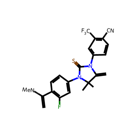 C=C(NC)c1ccc(N2C(=S)N(c3ccc(C#N)c(C(F)(F)F)c3)C(=C)C2(C)C)cc1F